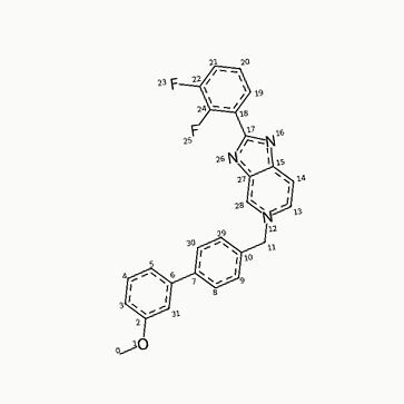 COc1cccc(-c2ccc(Cn3ccc4nc(-c5cccc(F)c5F)nc-4c3)cc2)c1